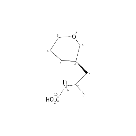 CC(C[C@H]1CCCOC1)NC(=O)O